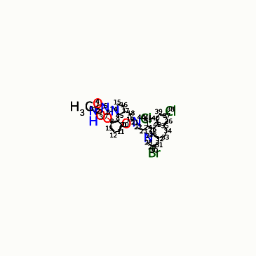 CNS(=O)(=O)N=C(Oc1ccccc1)N1CCC(CC(=O)N2CCC(C3c4ncc(Br)cc4CCc4cc(Cl)cc(Cl)c43)CC2)C1